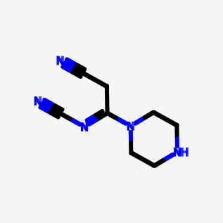 N#CCC(=NC#N)N1CCNCC1